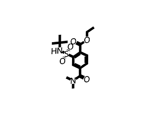 CCOC(=O)c1ccc(C(=O)N(C)C)cc1S(=O)(=O)NC(C)(C)C